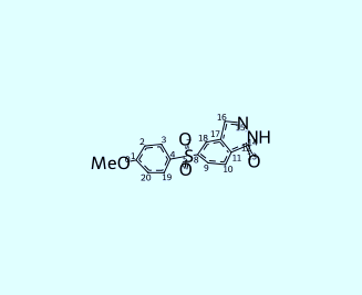 COc1ccc(S(=O)(=O)c2ccc3c(=O)[nH]ncc3c2)cc1